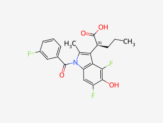 CCC[C@H](C(=O)O)c1c(C)n(C(=O)c2cccc(F)c2)c2cc(F)c(O)c(F)c12